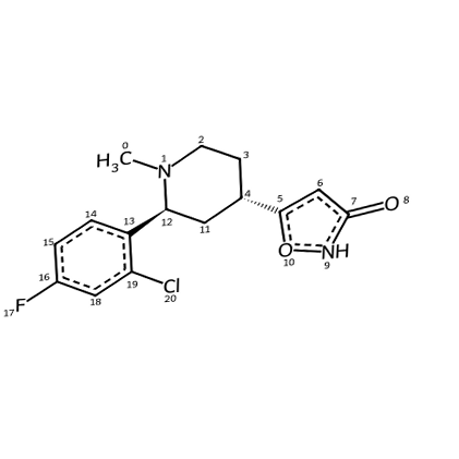 CN1CC[C@H](c2cc(=O)[nH]o2)C[C@H]1c1ccc(F)cc1Cl